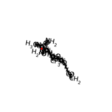 C=CC(=O)OCCCCCCOc1ccc(C(=O)Oc2ccc(N=Nc3ccc(-c4ccc(N=NC)cc4SOON)c(S(N)(=O)=O)c3)cc2C(F)(F)F)cc1